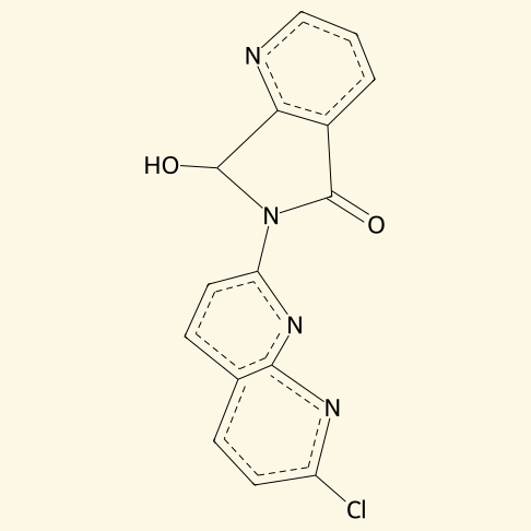 O=C1c2cccnc2C(O)N1c1ccc2ccc(Cl)nc2n1